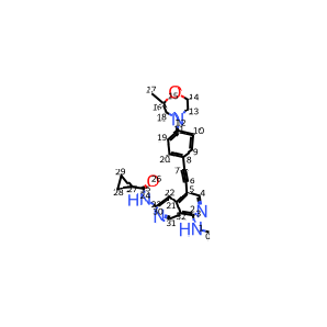 CNc1ncc(C#Cc2ccc(N3CCOC(C)C3)cc2)c2cc(NC(=O)C3CC3)ncc12